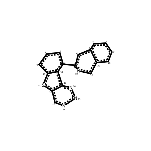 c1ccc2cc(-c3cccc4sc5cnnnc5c34)ncc2c1